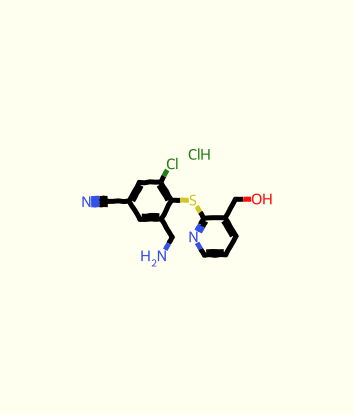 Cl.N#Cc1cc(Cl)c(Sc2ncccc2CO)c(CN)c1